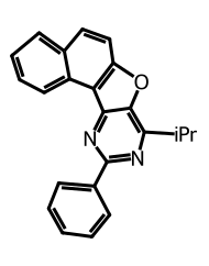 CC(C)c1nc(-c2ccccc2)nc2c1oc1ccc3ccccc3c12